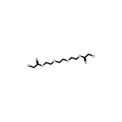 O=C(CCl)OCCOCCOCCOC(=O)CCl